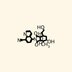 CC12OC(CCO)(C[C@H]1O)[C@@H]1C(=O)N(c3ccc(C#N)c4ncccc34)C(=O)[C@@H]12